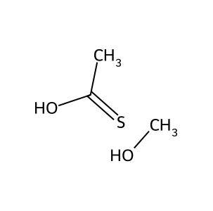 CC(O)=S.CO